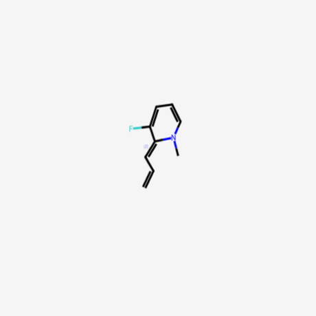 C=C/C=C1/C(F)=CC=CN1C